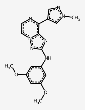 COc1cc(Nc2nc3c(-c4cnn(C)c4)nccn3n2)cc(OC)c1